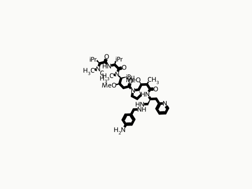 CC[C@H](C)[C@@H]([C@@H](CC(=O)N1CCC[C@H]1[C@H](OC)[C@@H](C)C(=O)N[C@H](CNNCc1ccc(N)cc1)Cc1ccccn1)OC)N(C)C(=O)[C@@H](NC(=O)[C@H](C(C)C)N(C)C)C(C)C